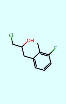 Cc1c(F)cccc1CC(O)CCl